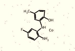 Cc1ccc(O)c(Nc2cc(F)ccc2N)c1.[Co]